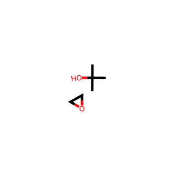 C1CO1.CC(C)(C)O